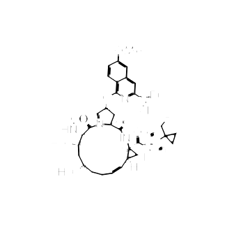 CCN(C)c1cc2cc(OC)ccc2c(O[C@@H]2C[C@H]3C(=O)N[C@]4(C(=O)NS(=O)(=O)C5(CF)CC5)C[C@H]4/C=C\CC[C@@H](C)C[C@@H](C)[C@H](NC(=O)O)C(=O)N3C2)n1